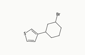 BrC1CCCC(c2ccsc2)C1